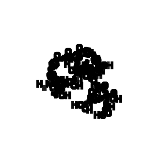 CC(C)c1cc(C(=N)N(C(N)=O)c2ccc(CN3CCN(C(=O)CCNC(=O)[C@@H](CCC(=O)N4CCN(Cc5ccc(-n6c(O)nnc6-c6cc(C(C)C)c(O)cc6O)cc5)CC4)NC(=O)CCNC(=O)[C@@H](CCC(=O)O)NC(=O)COCCOCCNC(=O)CC[C@H](C(=O)O)N(CCNCC(=O)O)CCN(CCNCC(=O)O)CC(=O)O)CC3)cc2)c(O)cc1O